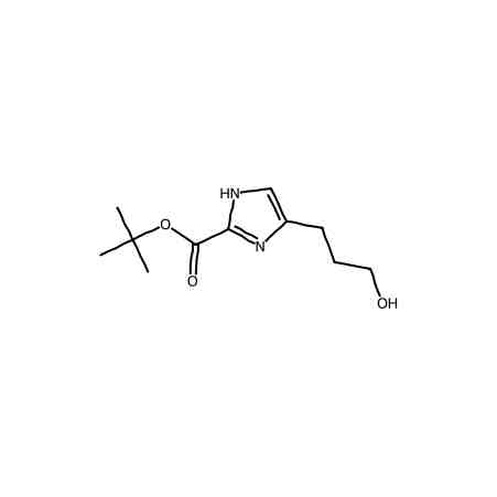 CC(C)(C)OC(=O)c1nc(CCCO)c[nH]1